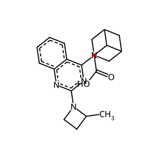 CC1CCN1c1nc(N2CC3CC(C2)C3CC(=O)O)c2ccccc2n1